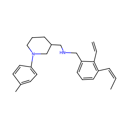 C=Cc1c(/C=C\C)cccc1CNCC1CCCN(c2ccc(C)cc2)C1